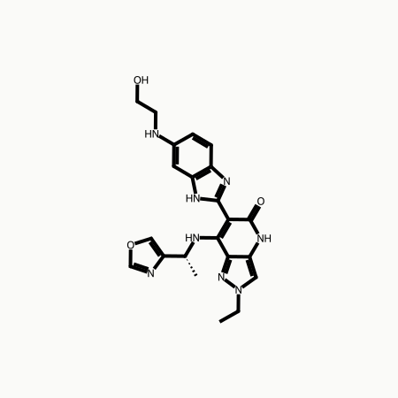 CCn1cc2[nH]c(=O)c(-c3nc4ccc(NCCO)cc4[nH]3)c(N[C@H](C)c3cocn3)c2n1